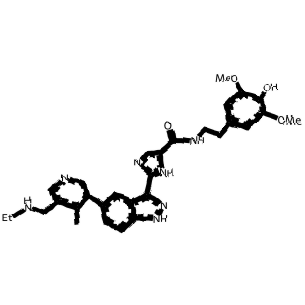 CCNCc1cncc(-c2ccc3[nH]nc(-c4ncc(C(=O)NCCc5cc(OC)c(O)c(OC)c5)[nH]4)c3c2)c1C